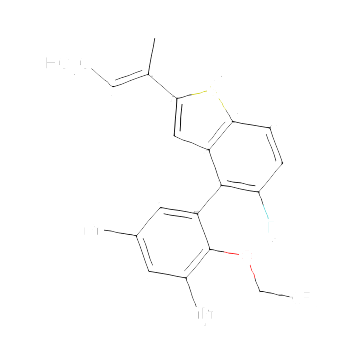 CC(=CC(=O)O)c1cc2c(-c3cc(C(C)C)cc(C(C)C)c3OCC(F)(F)F)c(F)ccc2s1